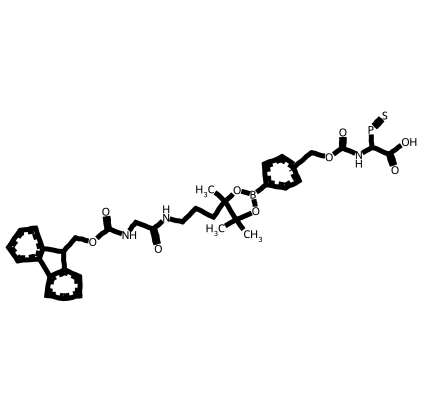 CC1(C)OB(c2ccc(COC(=O)NC(P=S)C(=O)O)cc2)OC1(C)CCCNC(=O)CNC(=O)OCC1c2ccccc2-c2ccccc21